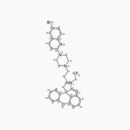 O=C(NCC(F)(F)F)C1(CCCCN2CCN(c3ccc4cc(Br)ccc4n3)CC2)c2ccccc2Oc2ccccc21